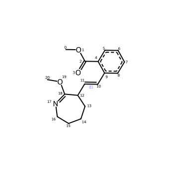 COC(=O)c1ccccc1/C=C/C1CCCCN=C1OC